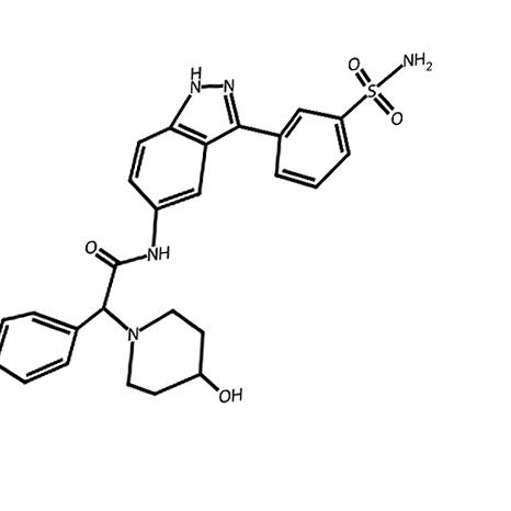 NS(=O)(=O)c1cccc(-c2n[nH]c3ccc(NC(=O)C(c4ccccc4)N4CCC(O)CC4)cc23)c1